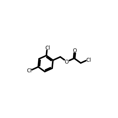 O=C(CCl)OCc1ccc(Cl)cc1Cl